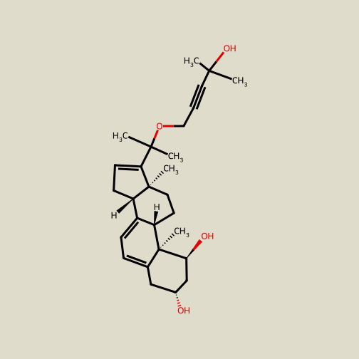 CC(C)(O)C#CCOC(C)(C)C1=CC[C@H]2C3=CC=C4C[C@@H](O)C[C@H](O)[C@]4(C)[C@H]3CC[C@]12C